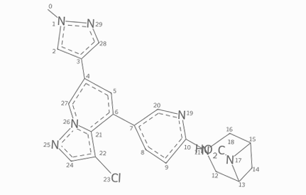 Cn1cc(-c2cc(-c3ccc(N4CC5CC(C4)N5C(=O)O)nc3)c3c(Cl)cnn3c2)cn1